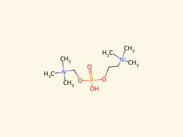 C[N+](C)(C)CCOP(=O)(O)OC[N+](C)(C)C